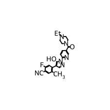 CCN1CCN(C(=O)c2ccc(-n3ncc(-c4cc(F)c(C#N)cc4C)c3O)nc2)CC1